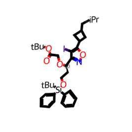 CC(C)CC1CC(c2onc([C@@H](CCO[Si](c3ccccc3)(c3ccccc3)C(C)(C)C)OCC(=O)OC(C)(C)C)c2I)C1